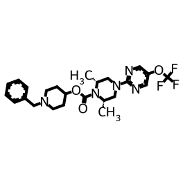 C[C@@H]1CN(c2ncc(OC(F)(F)F)cn2)C[C@H](C)N1C(=O)OC1CCN(Cc2ccccc2)CC1